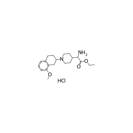 CCOC(=O)C(N)C1CCN(C2CCc3cccc(OC)c3C2)CC1.Cl